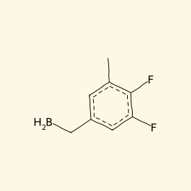 BCc1cc(C)c(F)c(F)c1